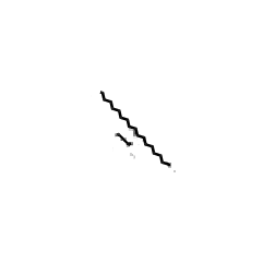 CC(C)(CO)C(Br)OBr.CCCCCCCCCCCCCCCCCC(=O)O